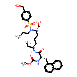 CCCN([C@H](CO)CCC[C@H](CC)NC(=O)[C@H](Cc1cccc2ccccc12)NC(=O)OC)S(=O)(=O)c1ccc(CO)cc1